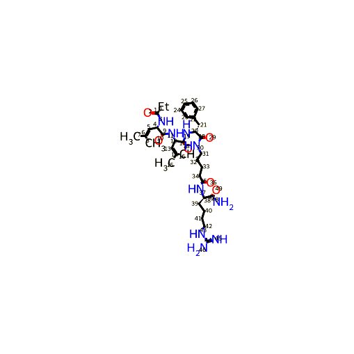 CCC(=O)N[C@H](C=C(C)C)C(=O)N[C@H](C=C(C)C)C(=O)N[C@H](Cc1ccccc1)C(=O)NCCCCC(=O)N[C@H](CCCCNC(=N)N)C(N)=O